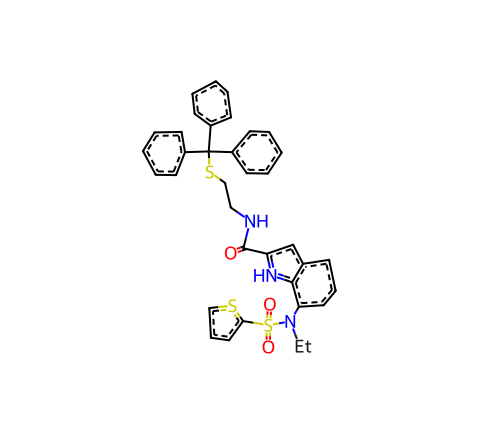 CCN(c1cccc2cc(C(=O)NCCSC(c3ccccc3)(c3ccccc3)c3ccccc3)[nH]c12)S(=O)(=O)c1cccs1